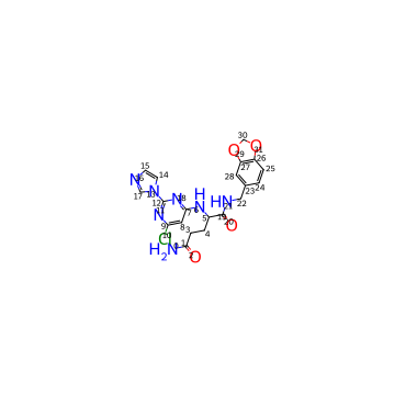 NC(=O)CCC(Nc1cc(Cl)nc(-n2ccnc2)n1)C(=O)NCc1ccc2c(c1)OCO2